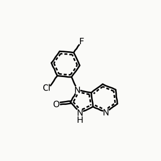 O=c1[nH]c2ncccc2n1-c1cc(F)ccc1Cl